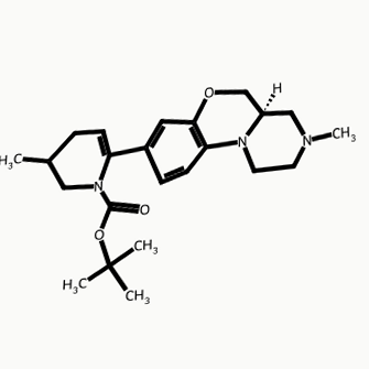 CC1CC=C(c2ccc3c(c2)OC[C@H]2CN(C)CCN32)N(C(=O)OC(C)(C)C)C1